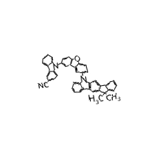 CC1(C)c2ccccc2-c2cc3c(cc21)c1ccccc1n3-c1ccc2oc3ccc(-n4c5ccccc5c5cc(C#N)ccc54)cc3c2c1